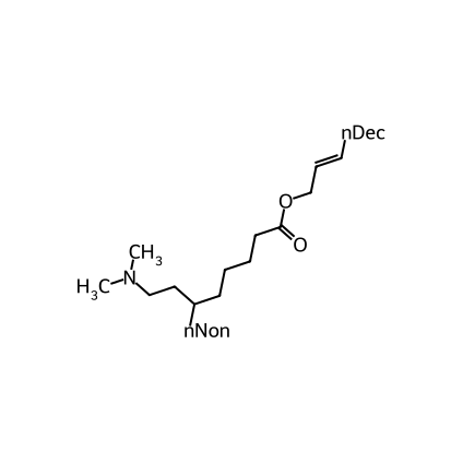 CCCCCCCCCCC=CCOC(=O)CCCCC(CCCCCCCCC)CCN(C)C